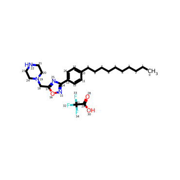 CCCCCCCCCCc1ccc(-c2noc(CN3CCNCC3)n2)cc1.O=C(O)C(F)(F)F